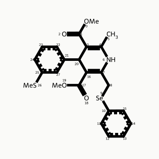 COC(=O)C1=C(C)NC(C[Se]c2ccccc2)=C(C(=O)OC)C1c1cccc(SC)c1